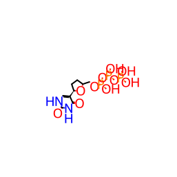 O=c1[nH]cc([C@H]2CCC(COP(O)OP(O)OP(O)O)O2)c(=O)[nH]1